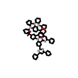 CC(C)(C)c1ccc2c(c1)c1ccccc1n2-c1ccc(-c2nc(-c3ccccc3)cc(-c3ccccc3)n2)cc1-c1nc(-c2ccccc2)cc(-c2cccc(-c3ccc4c5c3N(c3ccccc3)c3ccccc3B5c3ccccc3N4c3ccccc3)c2)n1